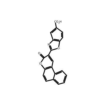 O=C(O)c1ccc2oc(-c3cc4c(ccc5ccccc54)oc3=O)nc2c1